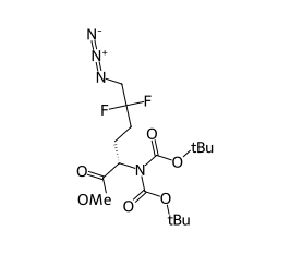 COC(=O)[C@H](CCC(F)(F)CN=[N+]=[N-])N(C(=O)OC(C)(C)C)C(=O)OC(C)(C)C